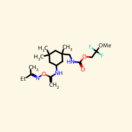 C=C(NC1CC(C)(C)CC(C)(CNC(=O)OCC(F)(F)OC)C1)ON=C(C)CC